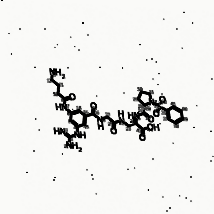 N=C(N)Nc1cc(NC(=O)CCCN)cc(C(=O)NCC(=O)NC[C@@H](NC(=O)[C@@H]2CCCN2S(=O)(=O)c2ccccc2)C(=O)O)c1